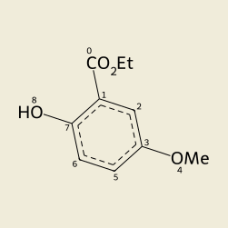 CCOC(=O)c1cc(OC)ccc1O